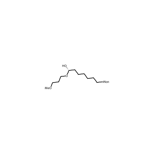 CCCCCCCCCCCCCCC[C@@H](O)OCCCOC